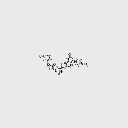 CN1CCN(c2cc(Cl)cc3cc(CNc4cc(NC(=O)C5CC5c5cccc(Cl)c5)ncn4)cnc23)CC1